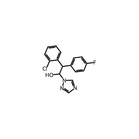 OC(C(c1ccc(F)cc1)c1ccccc1Cl)n1cncn1